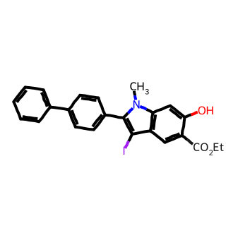 CCOC(=O)c1cc2c(I)c(-c3ccc(-c4ccccc4)cc3)n(C)c2cc1O